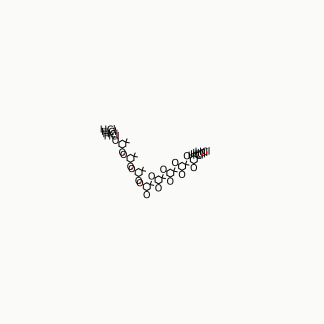 CC1(C)CC(=O)CC(=O)C1.CC1(C)CC(=O)CC(=O)C1.CC1(C)CC(=O)CC(=O)C1.CC1(C)CC(=O)CC(=O)C1.CC1(C)CC(=O)CC(=O)C1.CC1(C)CC(=O)CC(=O)C1.CC1(C)CC(=O)CC(=O)C1.CC1(C)CC(=O)CC(=O)C1.Cl.Cl.Cl.Cl.Cl.Cl.Cl.Cl